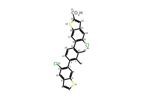 Cc1c(-c2cc3sccc3cc2Cl)ccc(-c2cc3sc(C(=O)O)cc3cc2Cl)c1C